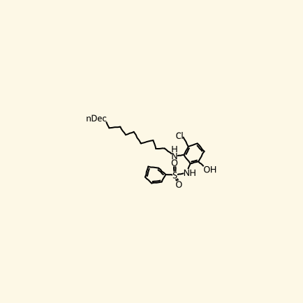 CCCCCCCCCCCCCCCCCCNc1c(Cl)ccc(O)c1NS(=O)(=O)c1ccccc1